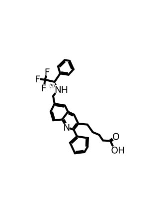 O=C(O)CCCCc1cc2cc(CN[C@@H](c3ccccc3)C(F)(F)F)ccc2nc1-c1ccccc1